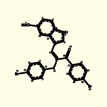 COc1ccc2[nH]cc(/C=C(/Sc3ccc(Br)cc3)C(=O)c3ccc(Br)cc3)c2c1